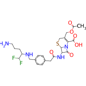 CC(=O)OCC1=C(C(=O)O)N2C(=O)C(NC(=O)Cc3ccc(CNC(CCCN)C(F)F)cc3)C2SC1